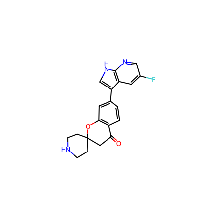 O=C1CC2(CCNCC2)Oc2cc(-c3c[nH]c4ncc(F)cc34)ccc21